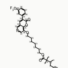 CC(C)CC(C)C(C)(C)C(=O)OCCCCCCCOc1cncc2cc(-c3cccc(C(F)(F)F)c3)c(=O)oc12